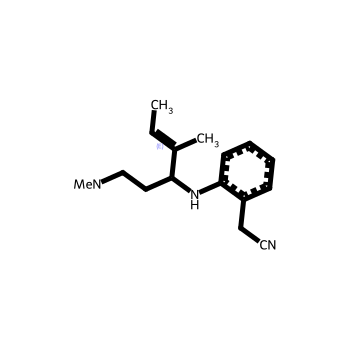 C/C=C(\C)C(CCNC)Nc1ccccc1CC#N